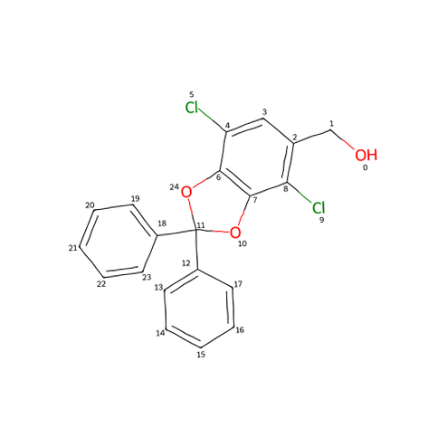 OCc1cc(Cl)c2c(c1Cl)OC(c1ccccc1)(c1ccccc1)O2